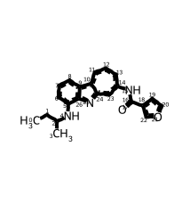 CCC(C)Nc1cccc2c3cccc(NC(=O)c4ccoc4)cc-3nc12